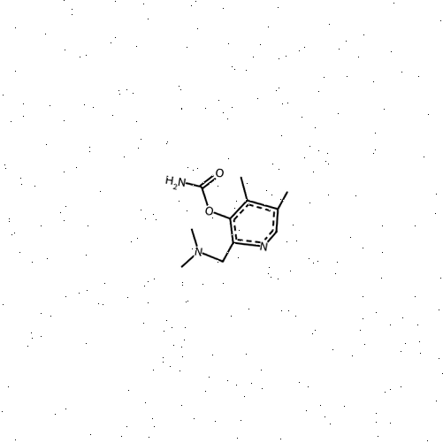 Cc1cnc(CN(C)C)c(OC(N)=O)c1C